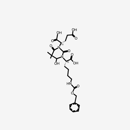 CC1(C)C(=O)N([C@@H](CCC(=O)O)C(=O)O)C(=O)N([C@@H](CCCCNC(=O)OCc2ccccc2)C(=O)O)C1O